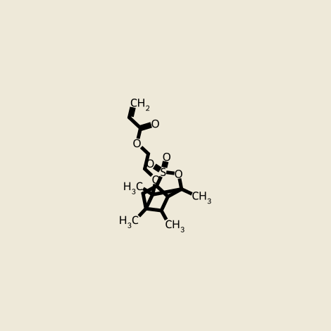 C=CC(=O)OCCOC1(C)C2(C)CC3C(C2C)C1(C)OS3(=O)=O